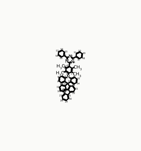 Cc1c(C)c(N2c3ccccc3C(c3ccccc3)(c3cccc4c3[nH]c3ccccc34)c3ccccc32)c(C)c(C)c1-c1nc(-c2ccccc2)nc(-c2ccccc2)n1